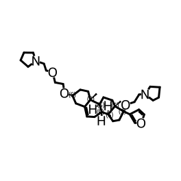 C[C@]12CC[C@H](OCCOCCN3CCCC3)CC1=CC[C@@H]1[C@@H]2CC[C@@]2(C)[C@H]1CC[C@@]2(OCCN1CCCC1)c1ccoc1